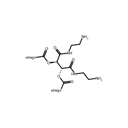 CCCCCCCC(=O)O[C@@H](C(=O)NCCN)[C@@H](OC(=O)CCCCCCC)C(=O)NCCN